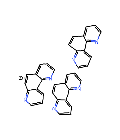 [Zn].c1cnc2c(c1)ccc1ncccc12.c1cnc2c(c1)ccc1ncccc12.c1cnc2c(c1)ccc1ncccc12